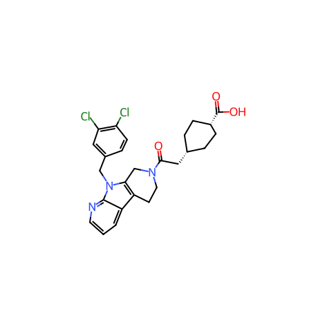 O=C(C[C@H]1CC[C@@H](C(=O)O)CC1)N1CCc2c(n(Cc3ccc(Cl)c(Cl)c3)c3ncccc23)C1